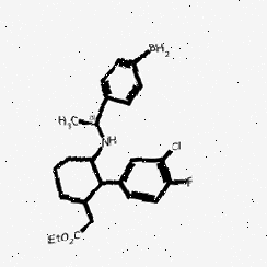 Bc1ccc([C@H](C)NC2CCCC(CC(=O)OCC)C2c2ccc(F)c(Cl)c2)cc1